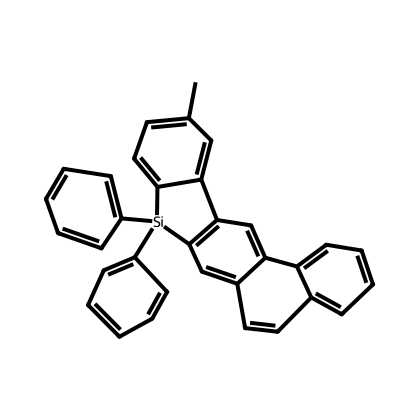 Cc1ccc2c(c1)-c1cc3c(ccc4ccccc43)cc1[Si]2(c1ccccc1)c1ccccc1